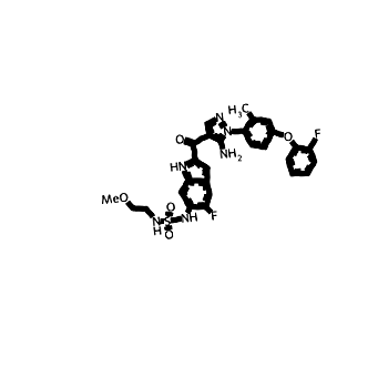 COCCNS(=O)(=O)Nc1cc2[nH]c(C(=O)c3cnn(-c4ccc(Oc5ccccc5F)cc4C)c3N)cc2cc1F